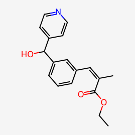 CCOC(=O)C(C)=Cc1cccc(C(O)c2ccncc2)c1